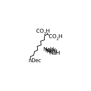 CCCCCCCCCCCCCCCCCCCC(C(=O)O)C(=O)O.[NaH].[NaH].[NaH].[NaH]